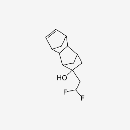 OC1(CC(F)F)CC2CC1C1C3C=CC(C3)C21